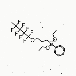 CCO[Si](CCCOC(F)(F)C(F)(F)C(F)(F)C(C)(F)F)(OCC)c1ccccc1